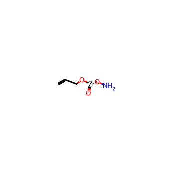 C=CC[O][Zr](=[O])[O]N